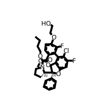 CCCCOC(=O)N1CCC[C@H]1[C@@]1(c2ccccc2)Cc2c(cc(F)c(Cl)c2-c2c(C(=O)OC)ccc(OCCO)c2F)O1